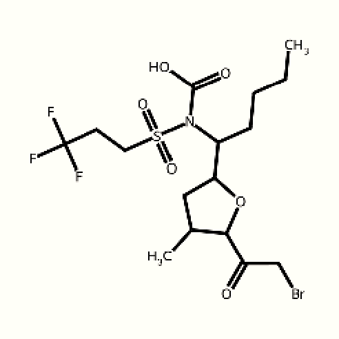 CCCCC(C1CC(C)C(C(=O)CBr)O1)N(C(=O)O)S(=O)(=O)CCC(F)(F)F